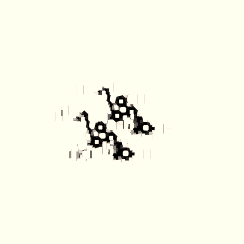 CCN(C)CCCOc1cc(-c2nc(C(=O)NC3(C(=O)O)CCC(O)CC3)ccc2-c2ccccc2C)ccc1Cl.CCN(CC)CCCOc1cc(-c2nc(C(=O)NC3(C(=O)O)CCC(O)CC3)ccc2-c2ccccc2C)ccc1Cl.Cl.Cl